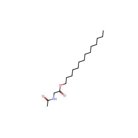 CCCCCCCCCCCCCCOC(=O)CNC(C)=O